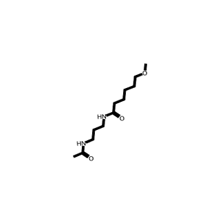 COCCCCCC(=O)NCCCNC(C)=O